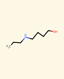 OCCCCNCCC(F)(F)F